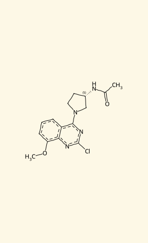 COc1cccc2c(N3CC[C@H](NC(C)=O)C3)nc(Cl)nc12